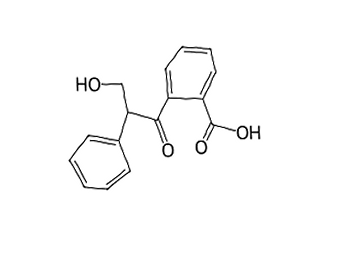 O=C(O)c1ccccc1C(=O)C(CO)c1ccccc1